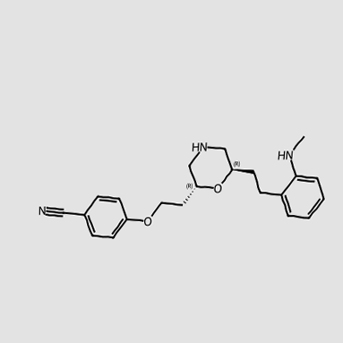 CNc1ccccc1CC[C@@H]1CNC[C@@H](CCOc2ccc(C#N)cc2)O1